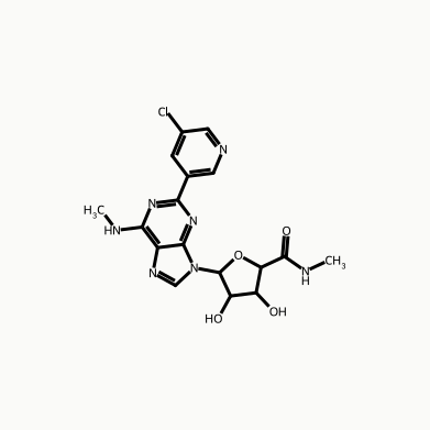 CNC(=O)C1OC(n2cnc3c(NC)nc(-c4cncc(Cl)c4)nc32)C(O)C1O